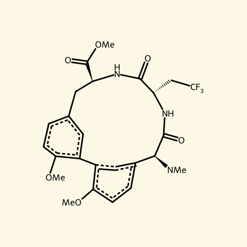 CN[C@@H]1C(=O)N[C@@H](CC(F)(F)F)C(=O)N[C@H](C(=O)OC)Cc2ccc(OC)c(c2)-c2cc1ccc2OC